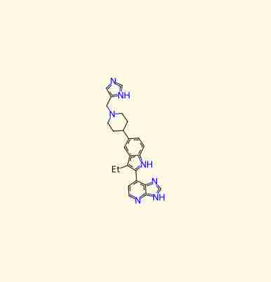 CCc1c(-c2ccnc3[nH]cnc23)[nH]c2ccc(C3CCN(Cc4cnc[nH]4)CC3)cc12